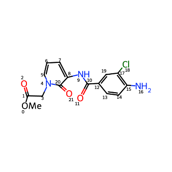 COC(=O)Cn1cccc(NC(=O)c2ccc(N)c(Cl)c2)c1=O